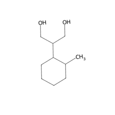 CC1CCCCC1C(CO)CO